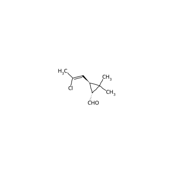 C/C(Cl)=C/[C@@H]1[C@@H](C=O)C1(C)C